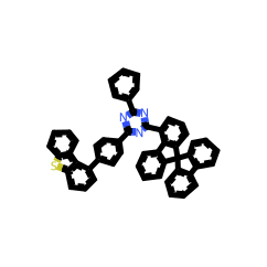 c1ccc(-c2nc(-c3ccc(-c4cccc5sc6ccccc6c45)cc3)nc(-c3cccc4c3-c3ccccc3C43c4ccccc4-c4ccccc43)n2)cc1